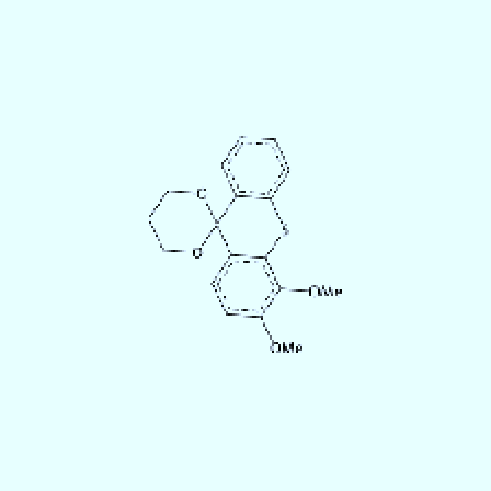 COc1ccc2c(c1OC)Sc1ccccc1C21OCCCO1